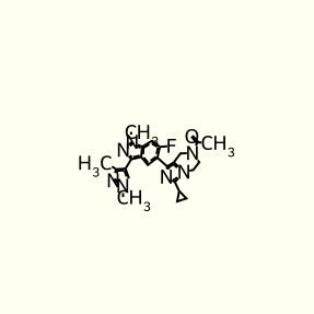 CC(=O)N1CCn2c(C3CC3)nc(-c3cc4c(-c5cn(C)nc5C)nn(C)c4cc3F)c2C1